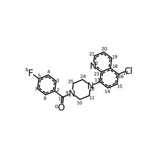 O=C(c1ccc(F)cc1)N1CCN(c2[c]cc(Cl)c3cccnc23)CC1